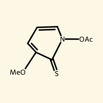 COc1cccn(OC(C)=O)c1=S